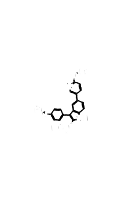 CC(C)Oc1ccc(-c2c(C(=O)O)[nH]c3ccc(-c4ccc(OC(C)C)nc4)cc23)cc1